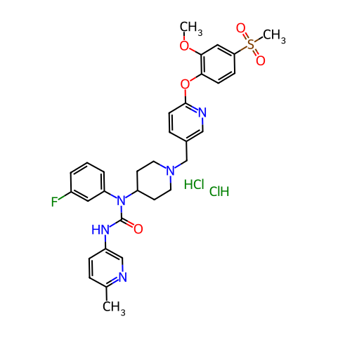 COc1cc(S(C)(=O)=O)ccc1Oc1ccc(CN2CCC(N(C(=O)Nc3ccc(C)nc3)c3cccc(F)c3)CC2)cn1.Cl.Cl